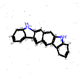 C1=CCc2c([nH]c3cc4cc5[nH]c6ccccc6c5cc4cc23)C1